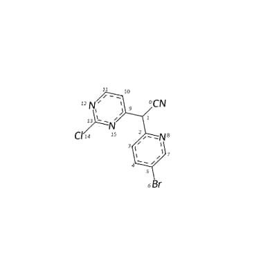 N#CC(c1ccc(Br)cn1)c1ccnc(Cl)n1